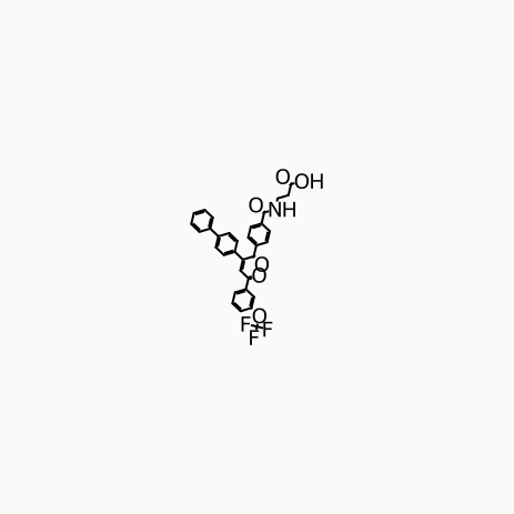 O=C(O)CCNC(=O)c1ccc(C(=O)/C(=C\C(=O)c2cccc(OC(F)(F)F)c2)c2ccc(-c3ccccc3)cc2)cc1